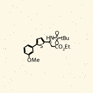 CCOC(=O)C[C@H](NS(=O)(=O)C(C)(C)C)c1ccc(-c2cccc(OC)c2)s1